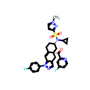 Cn1ccc(S(=O)(=O)N(C2CC2)[C@H]2CCC3=Cc4c(cnn4-c4ccc(F)cc4)C[C@]3(C(=O)c3cc(F)ccn3)C2)n1